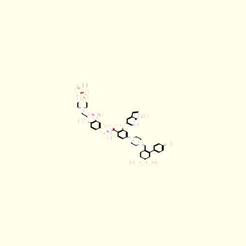 COC(=O)N=S1(=O)CCN(CCNc2ccc(S(=O)(=O)NC(=O)c3ccc(N4CCN(CC5=C(c6ccc(Cl)cc6)CC(C)(C)CC5)CC4)cc3Oc3cnc4[nH]ccc4c3)cc2[N+](=O)[O-])CC1